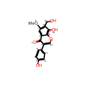 COc1cc2c(=O)c(-c3ccc(O)cc3)coc2c(O)c1CO